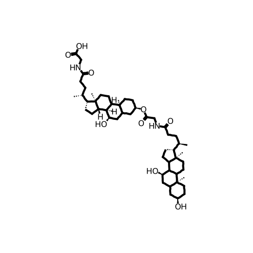 C[C@H](CCC(=O)NCC(=O)O)[C@H]1CC[C@H]2[C@@H]3[C@H](O)CC4C[C@H](OC(=O)CNC(=O)CC[C@@H](C)[C@H]5CCC6C7C(CC[C@@]65C)[C@@]5(C)CC[C@@H](O)CC5C[C@H]7O)CC[C@]4(C)[C@H]3CC[C@]12C